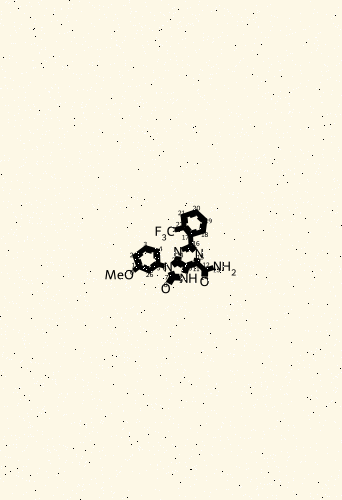 COc1cccc(-n2c(=O)[nH]c3c(C(N)=O)nc(-c4ccccc4C(F)(F)F)nc32)c1